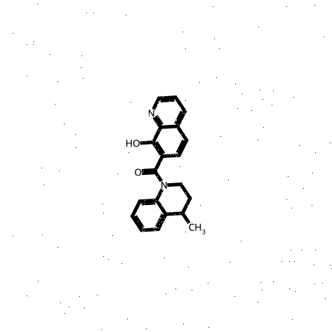 CC1CCN(C(=O)c2ccc3cccnc3c2O)c2ccccc21